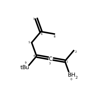 BC(C)=C=C(CC(=C)C)C(C)(C)C